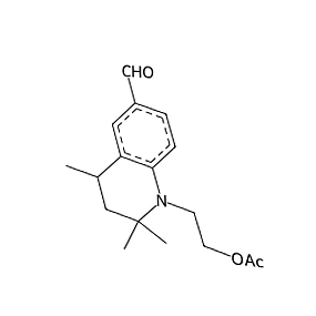 CC(=O)OCCN1c2ccc(C=O)cc2C(C)CC1(C)C